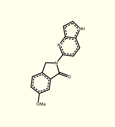 COc1ccc2c(c1)C(=O)N(c1ccc3[nH]ccc3n1)C2